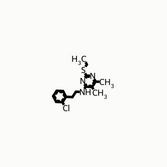 CCSc1nc(C)c(C)c(NCCc2ccccc2Cl)n1